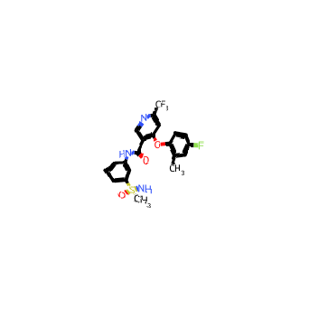 Cc1cc(F)ccc1Oc1cc(C(F)(F)F)ncc1C(=O)Nc1cccc(S(C)(=N)=O)c1